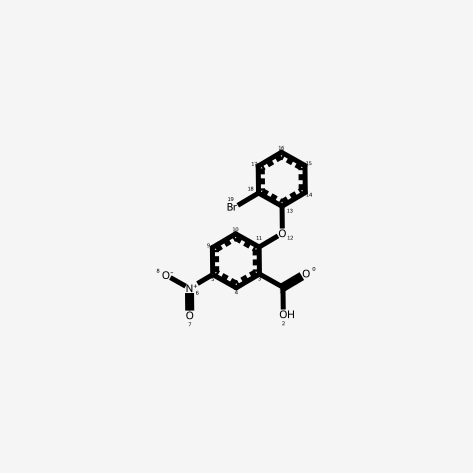 O=C(O)c1cc([N+](=O)[O-])ccc1Oc1ccccc1Br